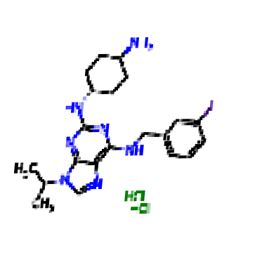 CC(C)n1cnc2c(NCc3cccc(I)c3)nc(N[C@H]3CC[C@H](N)CC3)nc21.Cl.Cl